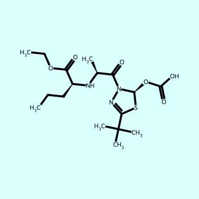 CCC[C@H](N[C@@H](C)C(=O)N1N=C(C(C)(C)C)S[C@@H]1OC(=O)O)C(=O)OCC